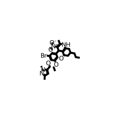 CCCC1CC(=O)C2=C(C1)NC(C)=C([N+](=O)[O-])C2c1cc(Br)c(OCc2cc(C)nn2C)c(OCC)c1